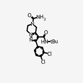 CC(C)(C)NC(=O)c1c(-c2ccc(Cl)c(Cl)c2)nn2c1CN(C(N)=O)CC2